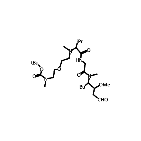 CCC(C)C(C(CC=O)OC)N(C)C(=O)CNC(=O)C(C(C)C)N(C)CCOCCN(C)C(=O)OC(C)(C)C